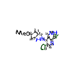 COc1ccc(CNc2c(Cl)cnc(Br)c2C=N)cc1